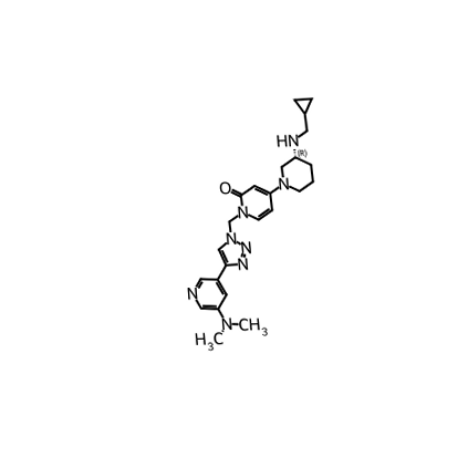 CN(C)c1cncc(-c2cn(Cn3ccc(N4CCC[C@@H](NCC5CC5)C4)cc3=O)nn2)c1